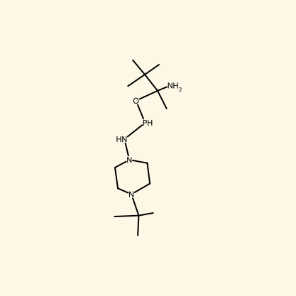 CC(C)(C)N1CCN(NPOC(C)(N)C(C)(C)C)CC1